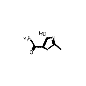 Cc1ncc(C(N)=O)s1.Cl